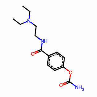 CCN(CC)CCNC(=O)c1ccc(OC(N)=O)cc1